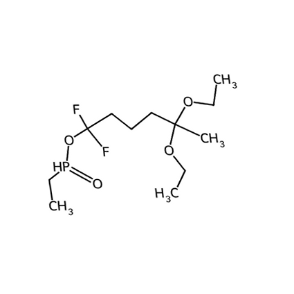 CCOC(C)(CCCC(F)(F)O[PH](=O)CC)OCC